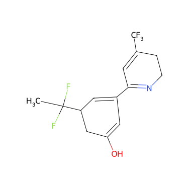 CC(F)(F)C1C=C(C2=NCCC(C(F)(F)F)=C2)C=C(O)C1